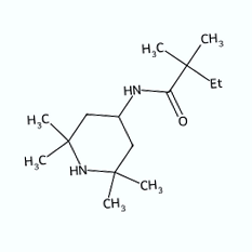 CCC(C)(C)C(=O)NC1CC(C)(C)NC(C)(C)C1